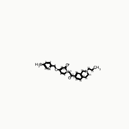 Bc1ccc(COc2ccn(CC(=O)c3ccc4c(c3)CN(CCC)CC4)c(=O)c2)nc1